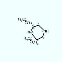 C1CNCCN1.C=C.C=C